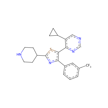 FC(F)(F)c1cccc(-c2nc(C3CCNCC3)sc2-c2n[c]ncc2C2CC2)c1